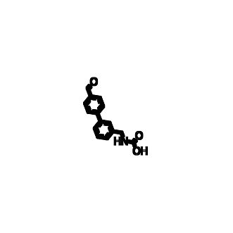 O=Cc1ccc(-c2cccc(CNC(=O)O)c2)cc1